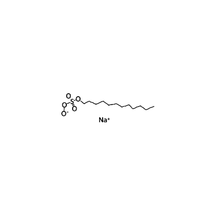 CCCCCCCCCCCCOS(=O)(=O)O[O-].[Na+]